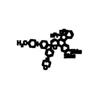 C=C1CCN(C2=CC=C(C3(c4ccc(N5CCOCC5)cc4)C=Cc4c5c(c6cc(SC)c(SC)cc6c4O3)-c3ccccc3C5(CCC)CCC)CC2)CC1